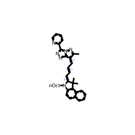 CCCCCCCCN1/C(=C/C=C/C=c2/c(C)nn3c(-c4ccccn4)nnc23)C(C)(C)c2c1ccc1ccccc21